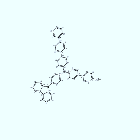 CC(C)(C)c1ccc(-c2ccc(N(c3ccc(-c4ccc(-c5ccccc5)cc4)cc3)c3ccc(-n4c5ccccc5c5ccccc54)cc3)cc2)cc1